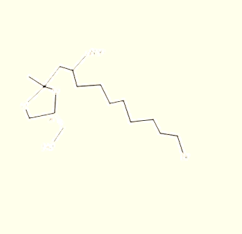 CCCCCCCCCC(CCCCCCCCBr)CC1(C)OC[C@@H](CO)O1